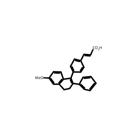 COc1ccc2c(c1)CCC(c1ccccc1)=C2c1ccc(C=CC(=O)O)cc1